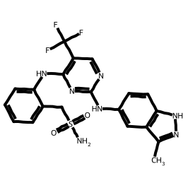 Cc1n[nH]c2ccc(Nc3ncc(C(F)(F)F)c(Nc4ccccc4CS(N)(=O)=O)n3)cc12